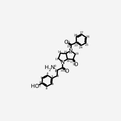 N[C@@H](Cc1ccc(O)cc1)C(=O)N1CCC2C1C(=O)CN2C(=O)c1ccccc1